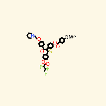 COc1ccc(C(=O)Oc2ccc3c(C(=O)c4ccc(OCCN5CCCCC5)cc4)c(-c4ccc(OC(=O)C(F)C(F)CF)cc4)sc3c2)cc1